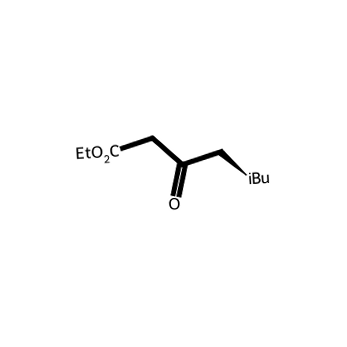 CCOC(=O)CC(=O)C[C@H](C)CC